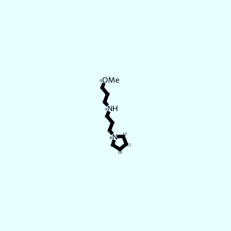 COCCCNCCCN1CCCC1